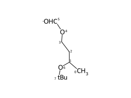 CC(CCO[C]=O)OC(C)(C)C